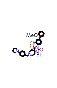 CCN1C(=O)N(c2ccc(-c3ccccc3OC)cc2Cl)C(=O)C12CCN(Cc1ccc(N3CCCC3)cc1)CC2